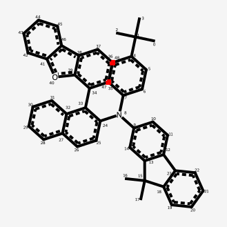 CC(C)(C)c1ccc(N(c2ccc3c(c2)C(C)(C)c2ccccc2-3)c2ccc3ccccc3c2-c2cccc3c2oc2ccccc23)cc1